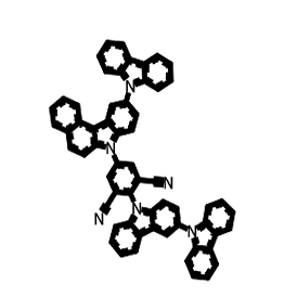 N#Cc1cc(-n2c3ccc(-n4c5ccccc5c5ccccc54)cc3c3c4ccccc4ccc32)cc(C#N)c1-n1c2ccccc2c2cc(-n3c4ccccc4c4ccccc43)ccc21